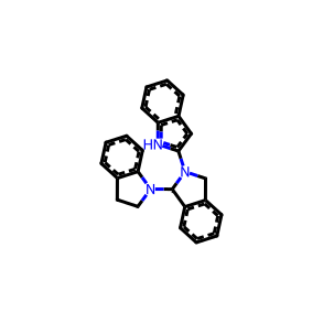 c1ccc2c(c1)CN(c1cc3ccccc3[nH]1)[C]2N1CCc2ccccc21